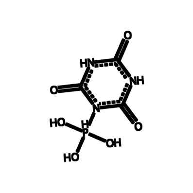 O=c1[nH]c(=O)n([PH](O)(O)O)c(=O)[nH]1